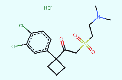 CN(C)CCS(=O)(=O)CC(=O)C1(c2ccc(Cl)c(Cl)c2)CCC1.Cl